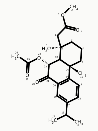 COC(=O)C[C@@]1(C)CCC[C@]2(C)c3ccc(C(C)C)cc3C(=O)[C@H](OC(C)=O)C12